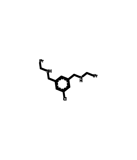 CC(C)CNCc1cc(Cl)cc(CNCC(C)C)c1